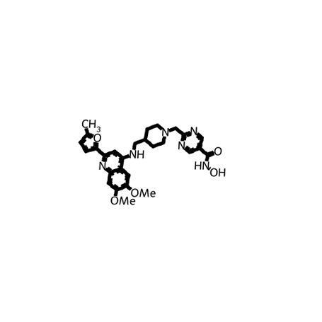 COc1cc2nc(-c3ccc(C)o3)cc(NCC3CCN(Cc4ncc(C(=O)NO)cn4)CC3)c2cc1OC